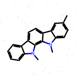 Cc1ccc2c(c1)c1ccc3c4ccccc4n(C)c3c1n2C